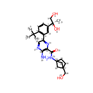 [2H]C([2H])([2H])c1ccc([C@](O)(CO)C(F)(F)F)cc1-c1cnc(N)c(C(=O)NC23CCC(CO)(C2)C3)n1